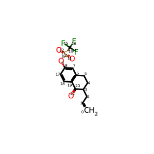 C=CCC1CCc2cc(OS(=O)(=O)C(F)(F)F)ccc2C1=O